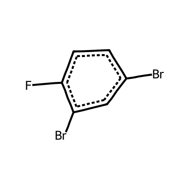 Fc1ccc(Br)cc1Br